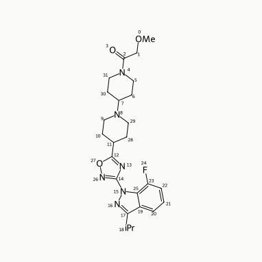 COCC(=O)N1CCC(N2CCC(c3nc(-n4nc(C(C)C)c5cccc(F)c54)no3)CC2)CC1